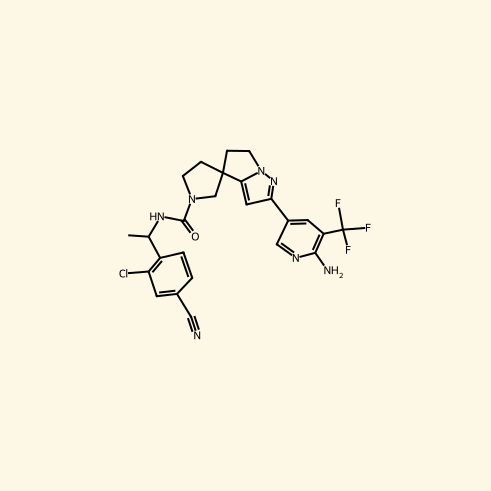 CC(NC(=O)N1CCC2(CCn3nc(-c4cnc(N)c(C(F)(F)F)c4)cc32)C1)c1ccc(C#N)cc1Cl